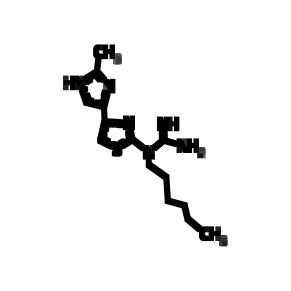 CCCCCCN(C(=N)N)c1nc(-c2c[nH]c(C)n2)cs1